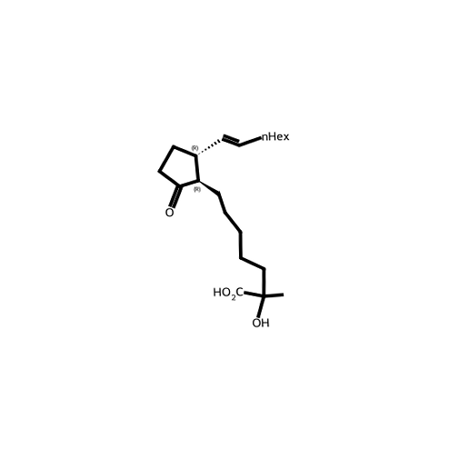 CCCCCCC=C[C@H]1CCC(=O)[C@@H]1CCCCCC(C)(O)C(=O)O